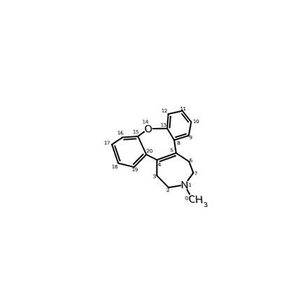 CN1CCC2=C(CC1)c1ccccc1Oc1ccccc12